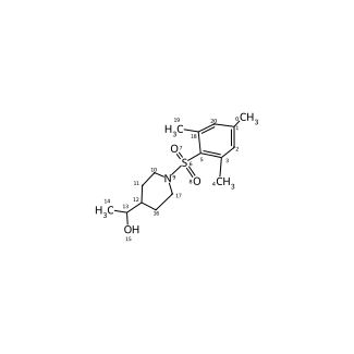 Cc1cc(C)c(S(=O)(=O)N2CCC(C(C)O)CC2)c(C)c1